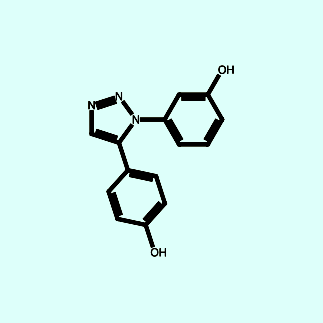 Oc1ccc(-c2cnnn2-c2cccc(O)c2)cc1